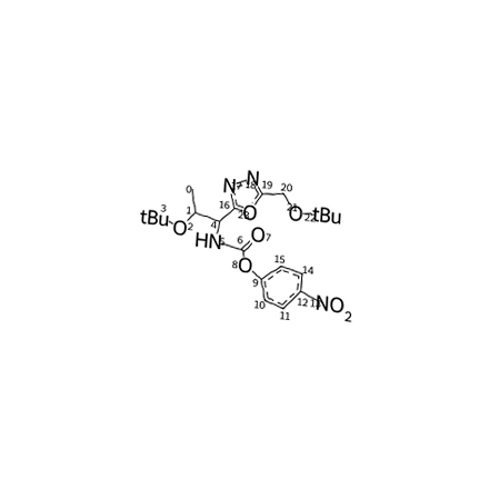 CC(OC(C)(C)C)C(NC(=O)Oc1ccc([N+](=O)[O-])cc1)c1nnc(COC(C)(C)C)o1